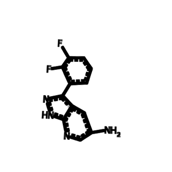 Nc1cnc2[nH]nc(-c3cccc(F)c3F)c2c1